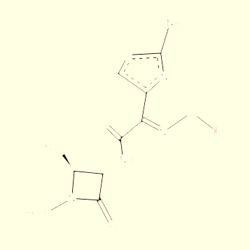 CC(=O)O[C@H]1[C@H](NC(=O)/C(=N/OC(C)C)c2csc(N)n2)C(=O)N1S(=O)(=O)O